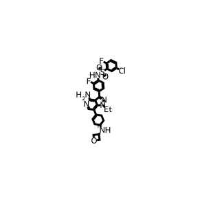 CCn1nc(-c2ccc(NS(=O)(=O)c3cc(Cl)ccc3F)c(F)c2)c2c(N)ncc(C3=CC[C@H](NC4COC4)CC3)c21